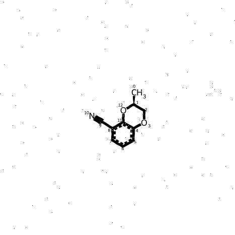 C[C@H]1COc2cccc(C#N)c2O1